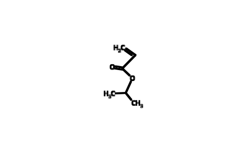 C=CC(=O)OC(C)C